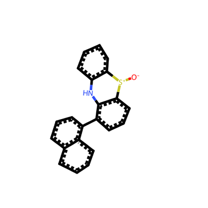 [O-][S+]1c2ccccc2Nc2c(-c3cccc4ccccc34)cccc21